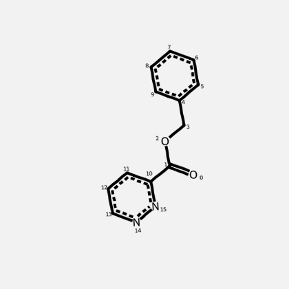 O=C(OCc1ccccc1)c1cccnn1